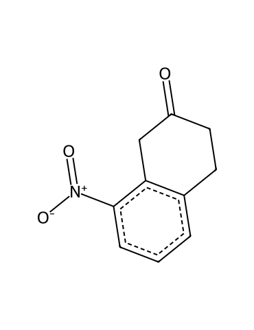 O=C1CCc2cccc([N+](=O)[O-])c2C1